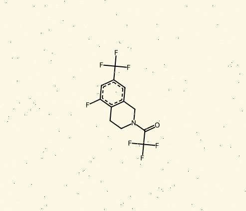 O=C(N1CCc2c(F)cc(C(F)(F)F)cc2C1)C(F)(F)F